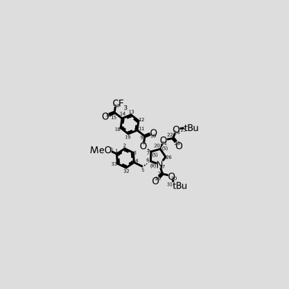 COc1ccc(C[C@@H]2[C@H](OC(=O)c3ccc(C(=O)C(F)(F)F)cc3)[C@@H](OC(=O)OC(C)(C)C)CN2C(=O)OC(C)(C)C)cc1